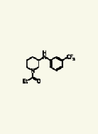 CCC(=O)N1CCCC(Nc2cccc(C(F)(F)F)c2)C1